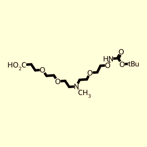 CN(CCOCCOCCC(=O)O)CCOCCONC(=O)OC(C)(C)C